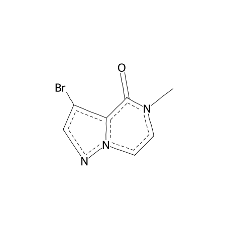 Cn1ccn2ncc(Br)c2c1=O